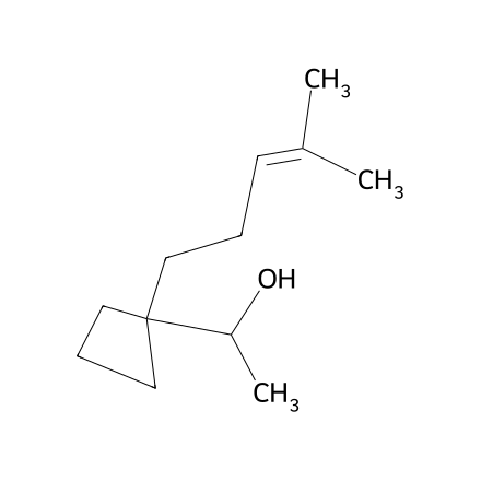 CC(C)=CCCC1(C(C)O)CCC1